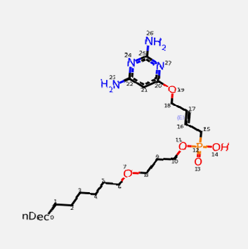 CCCCCCCCCCCCCCCCOCCCOP(=O)(O)C/C=C/COc1cc(N)nc(N)n1